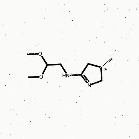 COC(CNC1=NC[C@@H](C)C1)OC